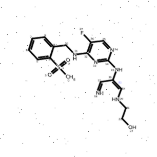 CS(=O)(=O)c1ccccc1CNc1nc(N/C(C=N)=C/NCCO)ncc1F